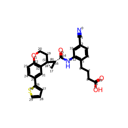 N#Cc1ccc(CCCC(=O)O)c(NC(=O)[C@@H]2C[C@]23CCOc2ccc(-c4cccs4)cc23)c1